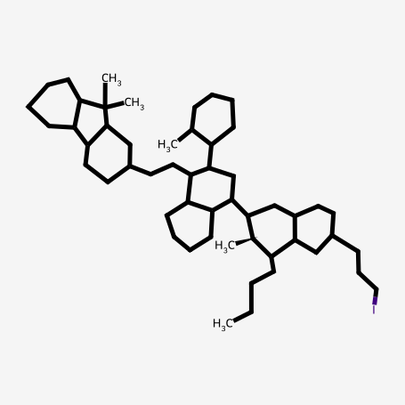 CCCCC1C2CC(CCCI)CCC2CC(C2CC(C3CCCCC3C)C(CCC3CCC4C5CCCCC5C(C)(C)C4C3)C3CCCCC32)[C@@H]1C